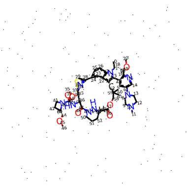 CCn1c(-c2cc(N3CCN(C)CC3)cnc2[C@H](C)OC)c2c3cc(ccc31)-c1csc(n1)[C@@H](OC)[C@H](NC(=O)N1CC[C@H]1COC)C(=O)N1CCC[C@H](N1)C(=O)OCC(C)(C)C2